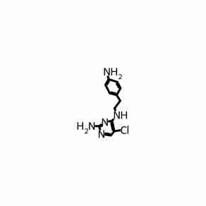 Nc1ccc(CCNc2nc(N)ncc2Cl)cc1